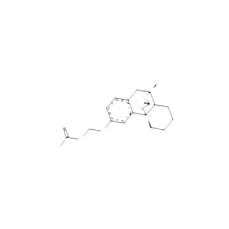 CC(C)(C)C(=O)OCOc1ccc2c(c1)[C@@]13CCCC[C@H]1[C@@H](C2)NCC3.Cl